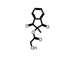 CC1(OC(=O)CO)C(=O)c2ccccc2C1=O